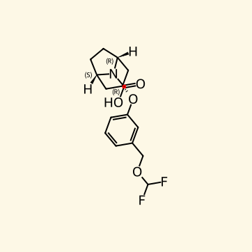 O=C(O)N1[C@@H]2CC[C@H]1C[C@@H](Oc1cccc(COC(F)F)c1)C2